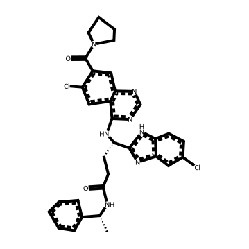 C[C@@H](NC(=O)CC[C@H](Nc1ncnc2cc(C(=O)N3CCCC3)c(Cl)cc12)c1nc2cc(Cl)ccc2[nH]1)c1ccccc1